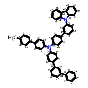 Cc1ccc(-c2ccc(N(c3ccc(-c4cccc(-c5ccccc5)c4)cc3)c3ccc(-c4cccc(-n5c6ccccc6c6ccccc65)c4)cc3)cc2)cc1